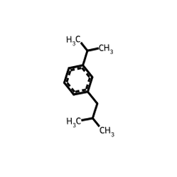 CC(C)Cc1cccc(C(C)C)c1